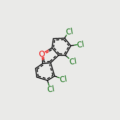 Clc1cc2oc3ccc(Cl)c(Cl)c3c2c(Cl)c1Cl